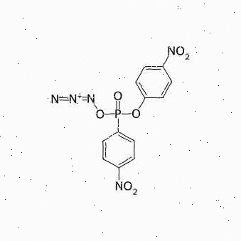 [N-]=[N+]=NOP(=O)(Oc1ccc([N+](=O)[O-])cc1)c1ccc([N+](=O)[O-])cc1